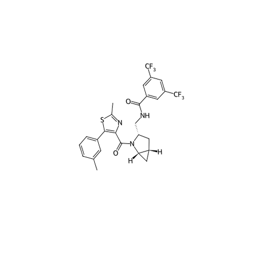 Cc1cccc(-c2sc(C)nc2C(=O)N2[C@H](CNC(=O)c3cc(C(F)(F)F)cc(C(F)(F)F)c3)C[C@@H]3C[C@@H]32)c1